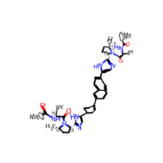 COC(=O)NC(C(=O)N1[C@@H](C)CC[C@H]1c1ncc(-c2ccc3cc(-c4ccc(-c5cnc([C@@H]6CC[C@H](C)N6C(=O)[C@@H](NC(=O)OC)C(C)C)[nH]5)cc4)ccc3c2)[nH]1)C(C)C